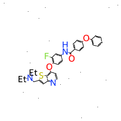 CCN(CC)Cc1cc2nccc(Oc3ccc(NC(=O)c4ccc(Oc5ccccc5)cc4)cc3F)c2s1